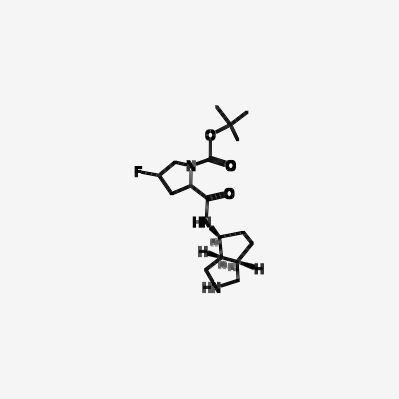 CC(C)(C)OC(=O)N1CC(F)CC1C(=O)N[C@H]1CC[C@@H]2CNC[C@@H]21